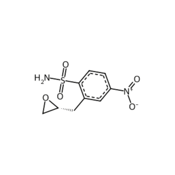 NS(=O)(=O)c1ccc([N+](=O)[O-])cc1C[C@@H]1CO1